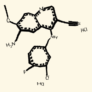 COc1cc2ncc(C#N)c(Nc3ccc(F)c(Cl)c3)c2cc1N.Cl.Cl